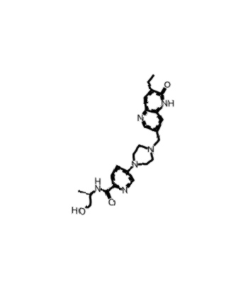 CCc1cc2ncc(CN3CCN(c4ccc(C(=O)N[C@H](C)CO)nc4)CC3)cc2[nH]c1=O